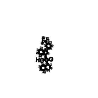 C=C/C(=C1\C(=O)C(c2cn(-c3cccc(C(F)(F)F)c3)c3ccccc23)=C1O)c1ccccc1C